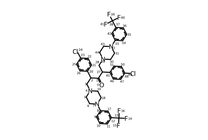 O=C(C(CN1CCN(c2cccc(C(F)(F)F)c2)CC1)c1ccc(Cl)cc1)C(CN1CCN(c2cccc(C(F)(F)F)c2)CC1)c1ccc(Cl)cc1